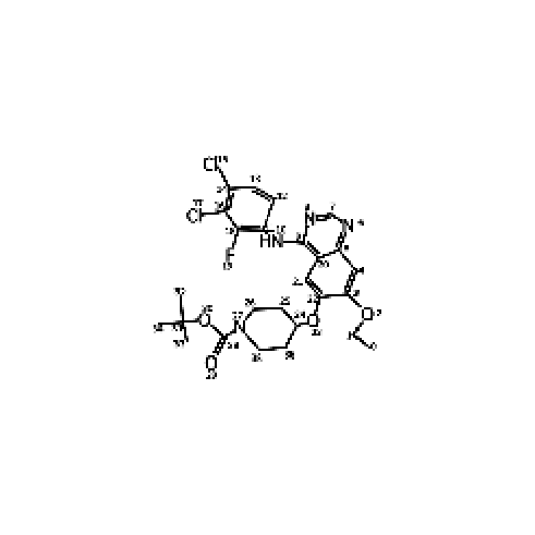 CCOc1cc2ncnc(Nc3ccc(Cl)c(Cl)c3F)c2cc1OC1CCN(C(=O)OC(C)(C)C)CC1